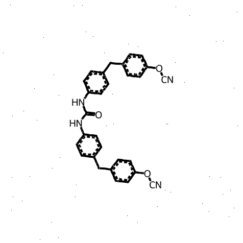 N#COc1ccc(Cc2ccc(NC(=O)Nc3ccc(Cc4ccc(OC#N)cc4)cc3)cc2)cc1